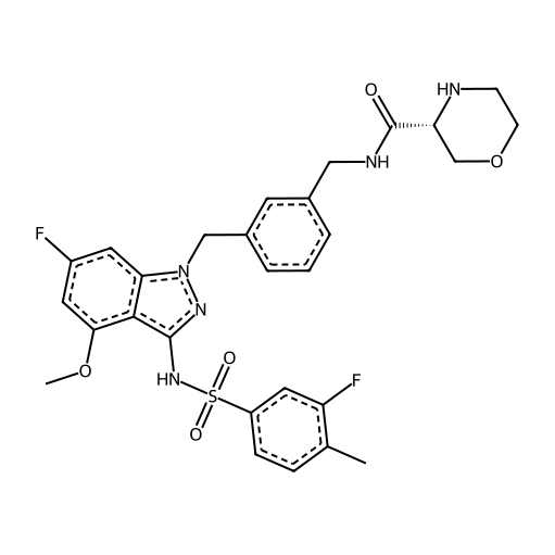 COc1cc(F)cc2c1c(NS(=O)(=O)c1ccc(C)c(F)c1)nn2Cc1cccc(CNC(=O)[C@H]2COCCN2)c1